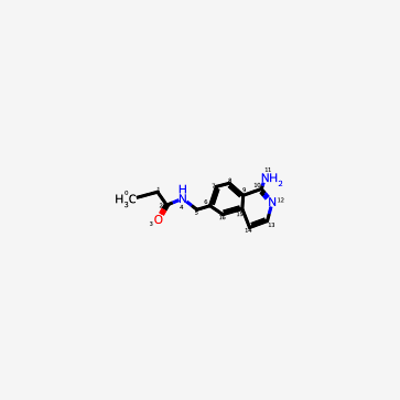 CCC(=O)NCc1ccc2c(N)nccc2c1